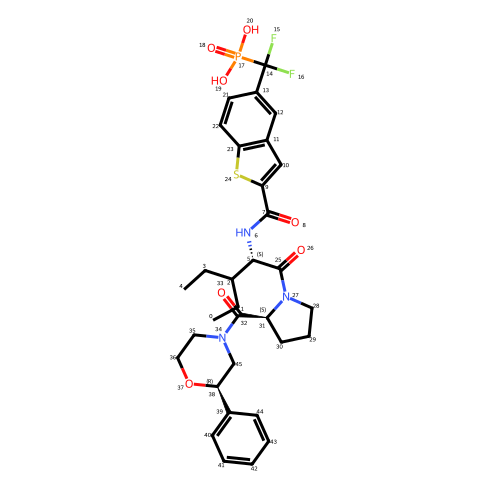 CCC(CC)[C@H](NC(=O)c1cc2cc(C(F)(F)P(=O)(O)O)ccc2s1)C(=O)N1CCC[C@H]1C(=O)N1CCO[C@H](c2ccccc2)C1